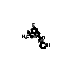 CS(=O)(=O)c1cc(F)cc2cc(C(=O)N[C@@H]3CCCNC3)[nH]c12